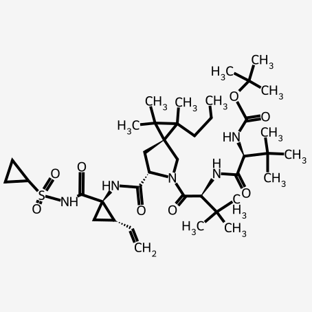 C=C[C@@H]1C[C@]1(NC(=O)[C@@H]1C[C@@]2(CN1C(=O)[C@@H](NC(=O)[C@@H](NC(=O)OC(C)(C)C)C(C)(C)C)C(C)(C)C)C(C)(C)C2(C)CCC)C(=O)NS(=O)(=O)C1CC1